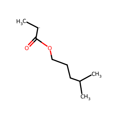 C[CH]C(=O)OCCCC(C)C